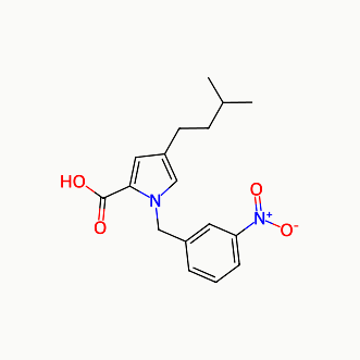 CC(C)CCc1cc(C(=O)O)n(Cc2cccc([N+](=O)[O-])c2)c1